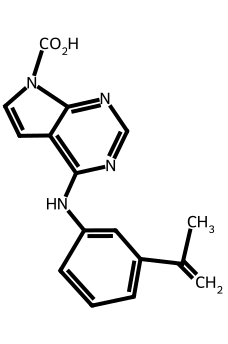 C=C(C)c1cccc(Nc2ncnc3c2ccn3C(=O)O)c1